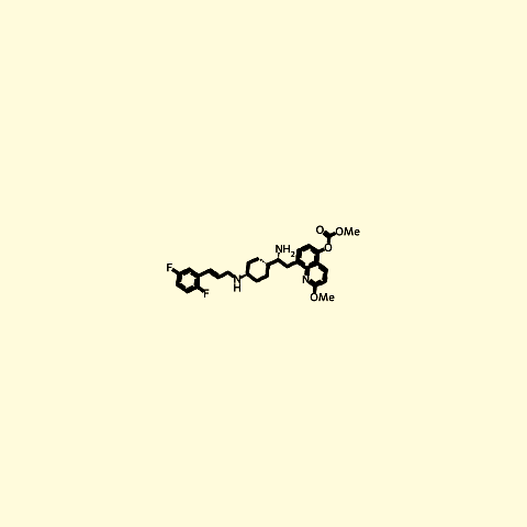 COC(=O)Oc1ccc(C[C@@H](N)[C@H]2CC[C@H](NC/C=C/c3cc(F)ccc3F)CC2)c2nc(OC)ccc12